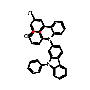 Clc1cc(Cl)cc(-c2ccccc2N(c2ccccc2)c2ccc3c4ccccc4n(-c4ccccc4)c3c2)c1